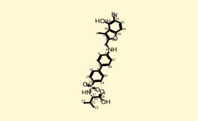 Cc1c(CNc2ccc(-c3ccc(S(=O)(=O)N[C@H](C(=O)O)C(C)C)cc3)cc2)oc2ccc(Br)c(O)c12